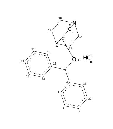 Cl.c1ccc(C(OC2CN3CCC2CC3)c2ccccc2)cc1